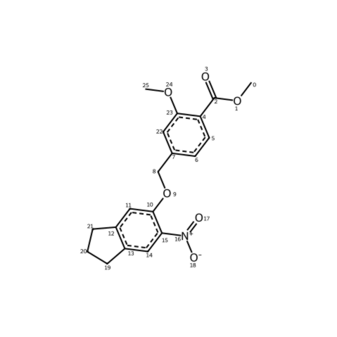 COC(=O)c1ccc(COc2cc3c(cc2[N+](=O)[O-])CCC3)cc1OC